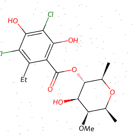 CCc1c(Cl)c(O)c(Cl)c(O)c1C(=O)O[C@H]1[C@H](O)[C@H](OC)[C@H](C)O[C@@H]1C